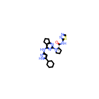 O=C(Nc1nncs1)[C@@H]1CCCN1c1nc2c(c(Nc3cc(C4CCCCC4)[nH]n3)n1)CCC2